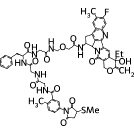 C=C1OCc2c(cc3n(c2=O)C2c4c-3nc3cc(F)c(C)cc3c4C[C@@H]2NC(=O)COCNC(=O)CNC(=O)[C@H](Cc2ccccc2)NC(=O)CNC(=O)CNC(=O)c2cc(N3C(=O)CC(SC)C3=O)ccc2C)[C@@]1(O)CC